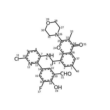 Cc1cc(C(C)Nc2ccc(Cl)nc2-c2cc(F)c(O)c(C=O)c2)c2oc(N3CCOCC3)c(C)c(=O)c2c1